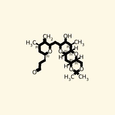 C=C1C(CC2O[C@H]3C[C@H]4OC(C)(C)OC[C@H]4O[C@H]3[C@H](C)C2O)O[C@@H](CCC=O)C[C@H]1C